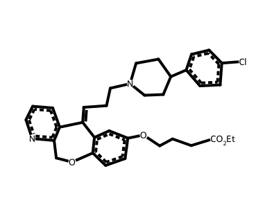 CCOC(=O)CCCOc1ccc2c(c1)C(=CCCN1CCC(c3ccc(Cl)cc3)CC1)c1cccnc1CO2